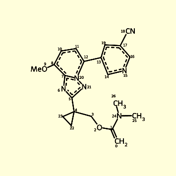 C=C(OCC1(c2nc3c(OC)ccc(-c4cncc(C#N)c4)n3n2)CC1)N(C)C